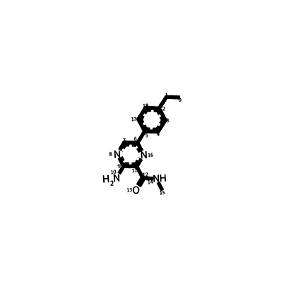 CCc1ccc(-c2cnc(N)c(C(=O)NC)n2)cc1